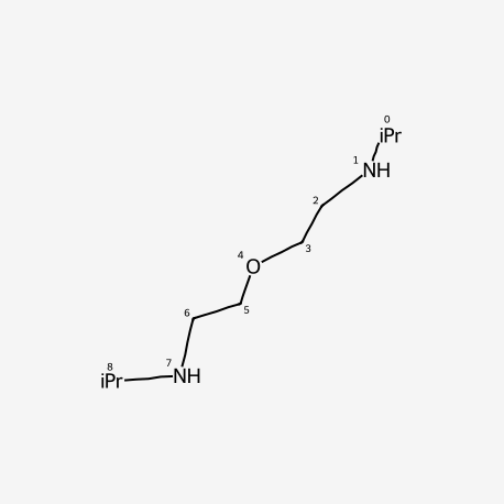 CC(C)NCCOCCNC(C)C